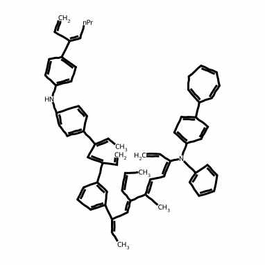 C=C/C(=C\CCC)c1ccc(Nc2ccc(C(/C=C(\C=C)c3cccc(C(/C=C(\C=C/C)C(/C)=C/C=C(\C=C)N(c4ccccc4)c4ccc(C5=CCC=CC=C5)cc4)=C/C)c3)=C/C)cc2)cc1